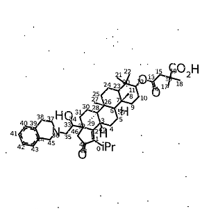 CC(C)C1=C2[C@H]3CC[C@@H]4[C@@]5(C)CC[C@H](OC(=O)CC(C)(C)C(=O)O)C(C)(C)C5CC[C@@]4(C)[C@]3(C)CCC2(C(O)CN2CCc3ccccc3C2)CC1=O